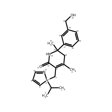 CC1=C(C[N+]2(C(C)C)C=CC=N2)C(=O)NC(C)(c2cccc(CO)c2)C1